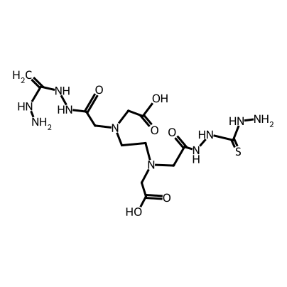 C=C(NN)NNC(=O)CN(CCN(CC(=O)O)CC(=O)NNC(=S)NN)CC(=O)O